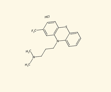 CN(C)CCCN1c2ccccc2Sc2ccc(C(F)(F)F)cc21.Cl